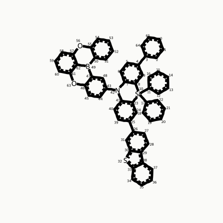 c1ccc(-c2ccc3c(c2)[Si](c2ccccc2)(c2ccccc2)c2cc(-c4ccc5c(c4)sc4ccccc45)ccc2N3c2ccc3c(c2)B2c4ccccc4Oc4cccc(c42)O3)cc1